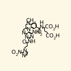 CN(Cc1cnc2nc(NC(=O)CCn3ccnc3[N+](=O)[O-])nc(N)c2n1)c1ccc(C(=O)NC(CCC(=O)O)C(=O)O)cc1